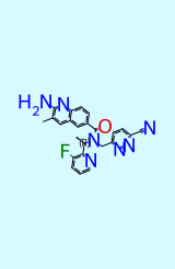 Cc1cc2cc(C(=O)N(Cc3ccc(C#N)nn3)[C@H](C)c3ncccc3F)ccc2nc1N